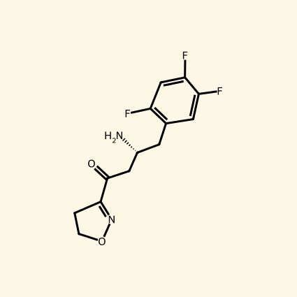 N[C@@H](CC(=O)C1=NOCC1)Cc1cc(F)c(F)cc1F